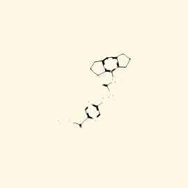 CNC(=O)c1cnc(S(=O)(=O)NC(=O)Nc2c3c(cc4c2CCC4)CCC3)cn1